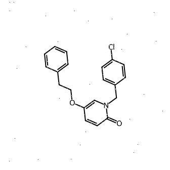 O=c1ccc(OCCc2ccccc2)cn1Cc1ccc(Cl)cc1